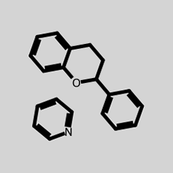 c1ccc(C2CCc3ccccc3O2)cc1.c1ccncc1